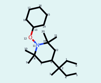 CCC(C)(CC)C1CC(C)(C)N(OC2CCCCC2)C(C)(C)C1